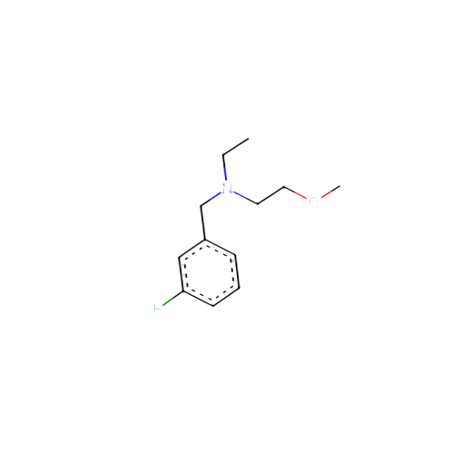 CCN(CCOC)Cc1cccc(F)c1